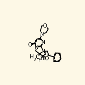 C[C@@]1(C(F)(F)F)Cn2c(nc(N3CCOCC3)cc2=O)N1C[C@@H](O)c1ccccc1